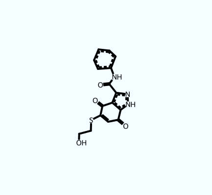 O=C(Nc1ccccc1)c1n[nH]c2c1C(=O)C(SCCO)=CC2=O